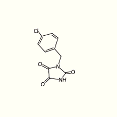 O=C1NC(=O)N(Cc2ccc(Cl)cc2)C1=O